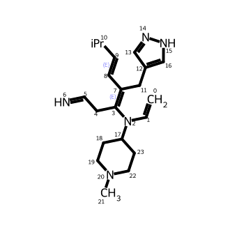 C=CN(/C(CC=N)=C(/C=C/C(C)C)Cc1cn[nH]c1)C1CCN(C)CC1